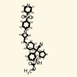 COC(=O)NC[C@H]1CCC[C@@H]1C(C#N)(c1ccccc1)C1CCN(CC2CN(c3ccc(S(=O)(=O)c4ccncc4)cc3)C2)CC1